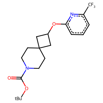 CC(C)(C)OC(=O)N1CCC2(CC1)CC(Oc1cccc(C(F)(F)F)n1)C2